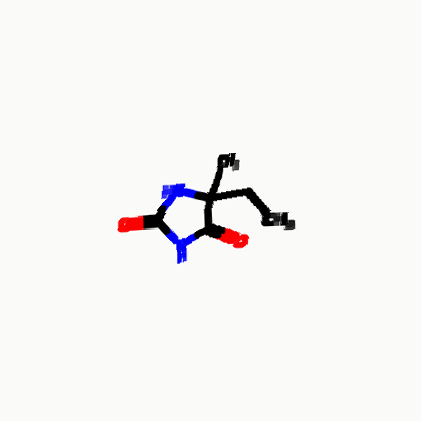 CCC1(C)NC(=O)NC1=O